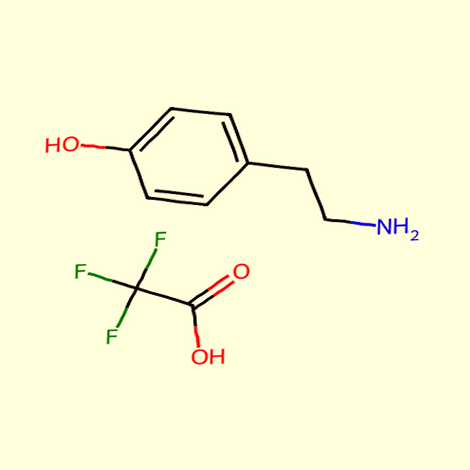 NCCc1ccc(O)cc1.O=C(O)C(F)(F)F